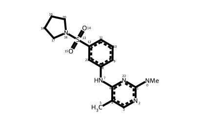 CNc1ncc(C)c(Nc2cccc(S(=O)(=O)N3CCCC3)c2)n1